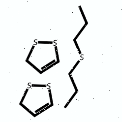 C1=CSSC1.C1=CSSC1.CCCSCCC